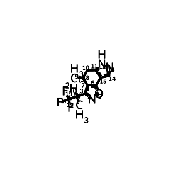 [2H][C@@](C)(c1noc2c1[C@@H](C)Cc1[nH]ncc1-2)C(F)(F)F